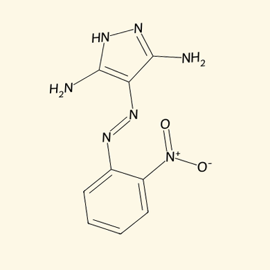 Nc1n[nH]c(N)c1N=Nc1ccccc1[N+](=O)[O-]